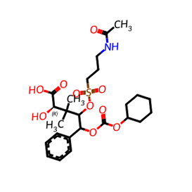 CC(=O)NCCCS(=O)(=O)OC(C(OC(=O)OC1CCCCC1)c1ccccc1)C(C)(C)[C@@H](O)C(=O)O